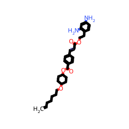 C=CCCCCCOC1CCC(OC(=O)c2ccc(/C=C/C(=O)OCCc3ccc(N)cc3N)cc2)CC1